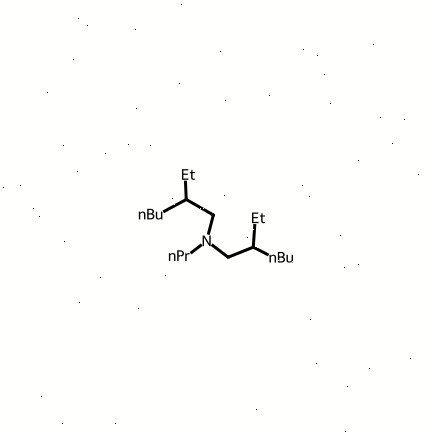 CCCCC(CC)CN(CCC)CC(CC)CCCC